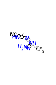 Cc1c(CN2CCC(Nc3cc(N)ncc3CCCC(F)(F)F)CC2)ccc2[nH]c(C#N)cc12